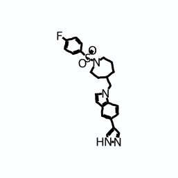 O=S(=O)(c1ccc(F)cc1)N1CCCC(Cn2ccc3cc(-c4cn[nH]c4)ccc32)CC1